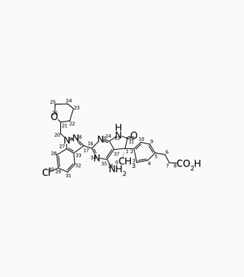 C[C@@]1(c2ccc(CCC(=O)O)cc2)C(=O)Nc2nc(-c3nn(CC4CCCCO4)c4cc(Cl)ccc34)nc(N)c21